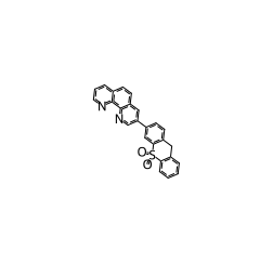 O=S1(=O)c2ccccc2Cc2ccc(-c3cnc4c(ccc5cccnc54)c3)cc21